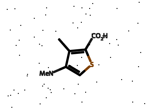 CNc1csc(C(=O)O)c1C